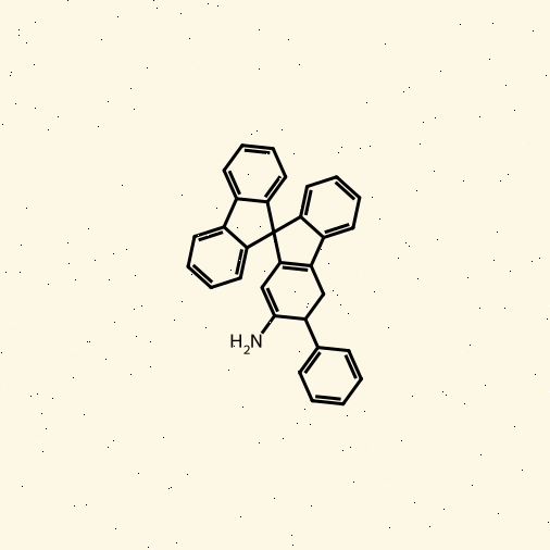 NC1=CC2=C(CC1c1ccccc1)c1ccccc1C21c2ccccc2-c2ccccc21